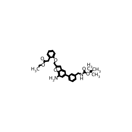 CCOC(=O)Cc1ccccc1OCc1cc2cc(-c3cccc(CNC(=O)OC(C)(C)C)c3)cc(N)c2o1